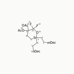 CCCCCCCCCCC[CH2][Sn]1([CH2]CCCCCCCCCCC)[CH2]CC(OC(C)=O)(OC(C)=O)C(F)(F)[O]1